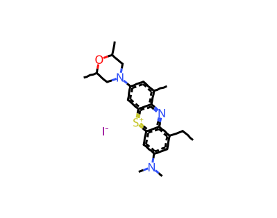 CCc1cc(N(C)C)cc2[s+]c3cc(N4CC(C)OC(C)C4)cc(C)c3nc12.[I-]